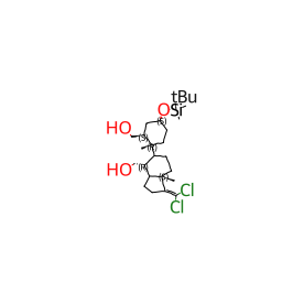 CC(C)(C)[Si](C)(C)O[C@H]1CC[C@](C)(C2CC[C@]3(C)C(=C(Cl)Cl)CCC3[C@@H]2CO)[C@@H](CO)C1